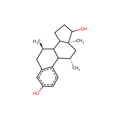 C[C@@H]1Cc2cc(O)ccc2C2C1C1CCC(O)[C@@]1(C)C[C@@H]2C